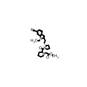 CCn1c(CC[C@@H]2CCCN2C(=O)C2CCCCN2CC(=O)OC)cc2ccc(C#N)cc21